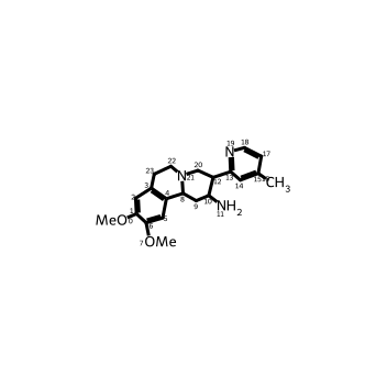 COc1cc2c(cc1OC)C1CC(N)C(c3cc(C)ccn3)CN1CC2